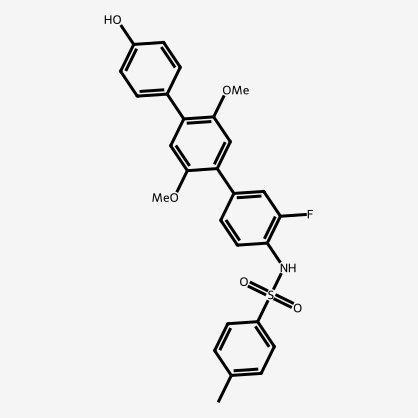 COc1cc(-c2ccc(NS(=O)(=O)c3ccc(C)cc3)c(F)c2)c(OC)cc1-c1ccc(O)cc1